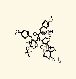 COc1ccc(C[C@H](NC(=O)OC(C)(C)C)C(=O)N(C(=O)[C@@H](N)Cc2ccc(OC)cc2)[C@H]2[C@@H](O)[C@H](n3cnc4c(N)ncnc43)O[C@@H]2C(=O)O)cc1